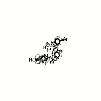 CC(C)(O)c1cnc(N2C[C@@]3(CCC(=O)[C@](C)(Cn4cnc5ccc(C#N)cc54)C3)OC2=O)cn1.[Cu][I]